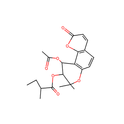 CCC(C)C(=O)OC1C(OC(C)=O)c2c(ccc3ccc(=O)oc23)OC1(C)C